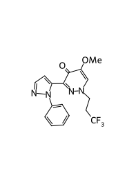 COc1cn(CCC(F)(F)F)nc(-c2ccnn2-c2ccccc2)c1=O